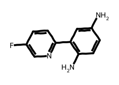 Nc1ccc(N)c(-c2ccc(F)cn2)c1